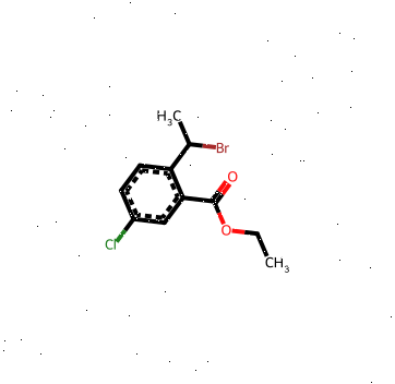 CCOC(=O)c1cc(Cl)ccc1C(C)Br